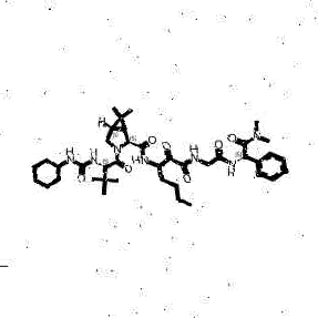 CCCCC(NC(=O)[C@@H]1C2[C@H](CN1C(=O)[C@@H](NC(=O)NC1CCCCC1)C(C)(C)C)C2(C)C)C(=O)C(=O)NCC(=O)N[C@H](C(=O)N(C)C)c1ccccc1